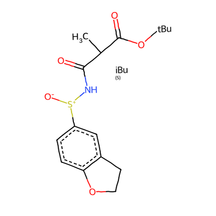 CC[C@H](C)C(C)(C(=O)N[S+]([O-])c1ccc2c(c1)CCO2)C(=O)OC(C)(C)C